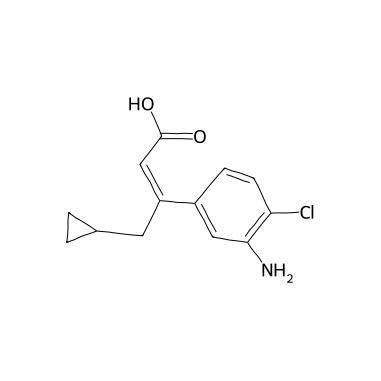 Nc1cc(/C(=C\C(=O)O)CC2CC2)ccc1Cl